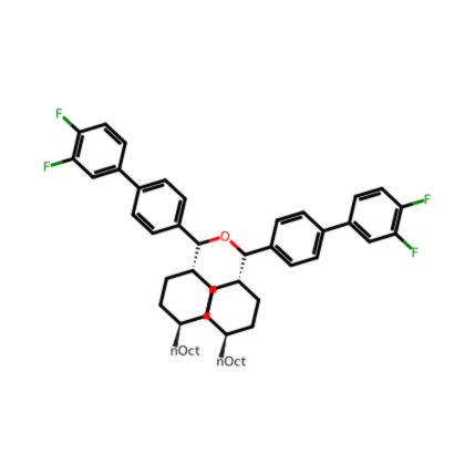 CCCCCCCC[C@H]1CC[C@H](C(OC(c2ccc(-c3ccc(F)c(F)c3)cc2)[C@H]2CC[C@H](CCCCCCCC)CC2)c2ccc(-c3ccc(F)c(F)c3)cc2)CC1